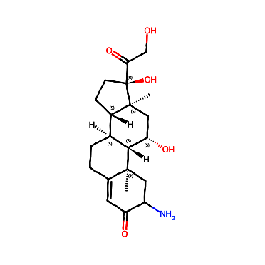 C[C@]12CC(N)C(=O)C=C1CC[C@@H]1[C@@H]2[C@@H](O)C[C@@]2(C)[C@H]1CC[C@]2(O)C(=O)CO